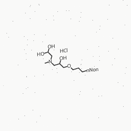 CCCCCCCCCCCCOCC(O)CN(C)CC(O)O.Cl